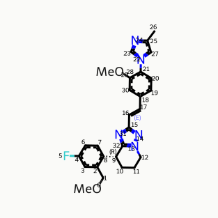 COCc1cc(F)ccc1[C@H]1CCCn2nc(/C=C/c3ccc(-n4cnc(C)c4)c(OC)c3)nc21